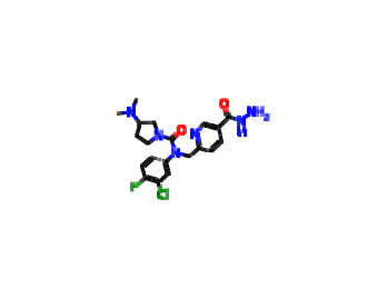 CN(C)C1CCN(C(=O)N(Cc2ccc(C(=O)NN)cn2)c2ccc(F)c(Cl)c2)C1